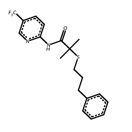 CC(C)(SCCCc1ccccc1)C(=O)Nc1ccc(C(F)(F)F)cn1